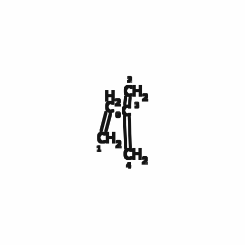 C=C.C=C=C